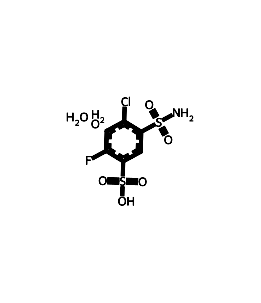 NS(=O)(=O)c1cc(S(=O)(=O)O)c(F)cc1Cl.O.O